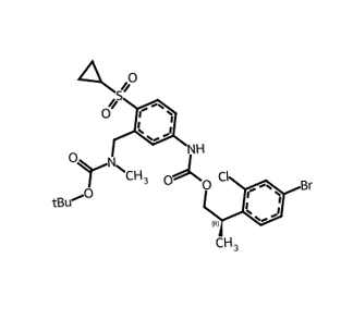 C[C@@H](COC(=O)Nc1ccc(S(=O)(=O)C2CC2)c(CN(C)C(=O)OC(C)(C)C)c1)c1ccc(Br)cc1Cl